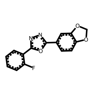 Fc1ccccc1-c1nnc(-c2ccc3c(c2)OCO3)o1